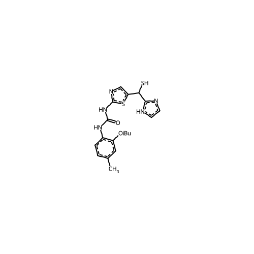 Cc1ccc(NC(=O)Nc2ncc(C(S)c3ncc[nH]3)s2)c(OCC(C)C)c1